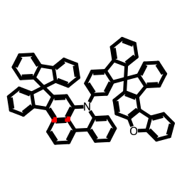 c1ccc(-c2ccccc2N(c2ccc3c(c2)C2(c4ccccc4-c4ccccc42)c2ccccc2-3)c2ccc3c(c2)C2(c4ccccc4-3)c3ccccc3-c3c2ccc2oc4ccccc4c32)cc1